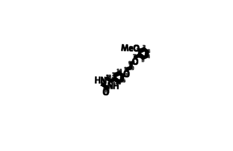 COc1ccccc1COCCCOc1ccc([C]2CNCC(=O)N2)cc1